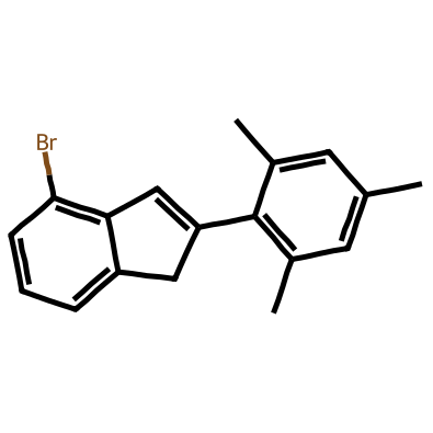 Cc1cc(C)c(C2=Cc3c(Br)cccc3C2)c(C)c1